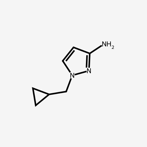 Nc1ccn(CC2CC2)n1